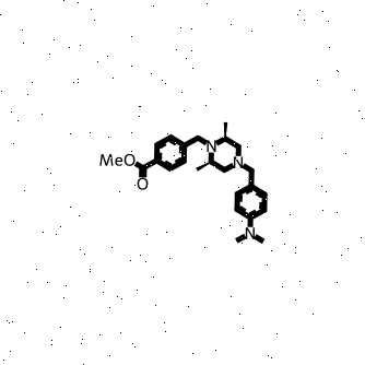 COC(=O)c1ccc(CN2[C@H](C)CN(Cc3ccc(N(C)C)cc3)C[C@@H]2C)cc1